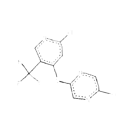 FC(F)(F)c1cnc(Cl)cc1Sc1cnc(Cl)cn1